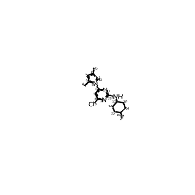 Cc1cc(C)n(-c2cc(Cl)nc(NC3CCC(F)CC3)n2)n1